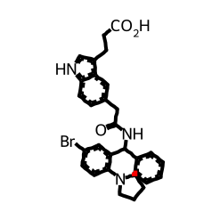 O=C(O)CCc1c[nH]c2ccc(CC(=O)NC(c3ccccc3)c3cc(Br)ccc3N3CCCC3)cc12